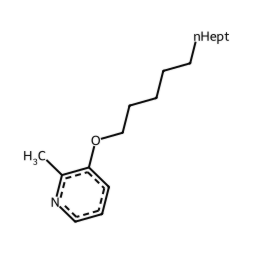 CCCCCCCCCCCCOc1cccnc1C